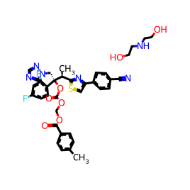 Cc1ccc(C(=O)OCOC(=O)O[C@@](Cn2cncn2)(c2ccc(F)cc2F)[C@@H](C)c2nc(-c3ccc(C#N)cc3)cs2)cc1.OCCNCCO